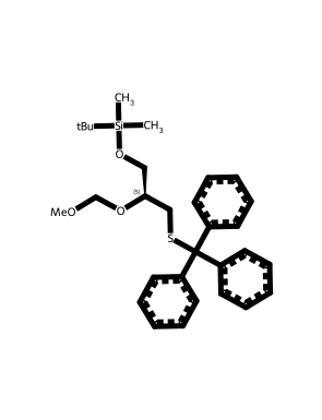 COCO[C@@H](CO[Si](C)(C)C(C)(C)C)CSC(c1ccccc1)(c1ccccc1)c1ccccc1